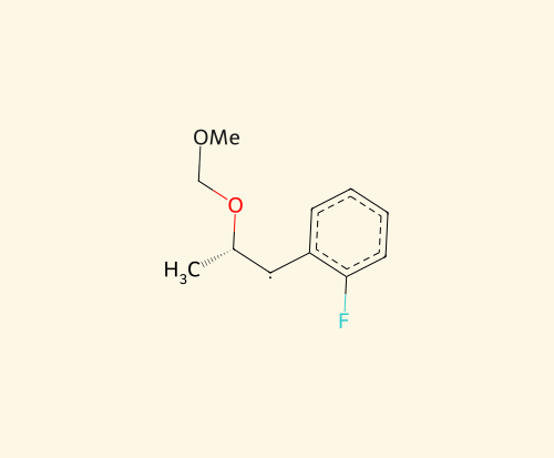 COCO[C@@H](C)[CH]c1ccccc1F